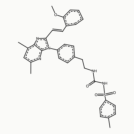 COc1ccccc1C=Cc1nc2c(C)cc(C)nc2n1-c1ccc(CCNC(=O)NS(=O)(=O)c2ccc(C)cc2)cc1